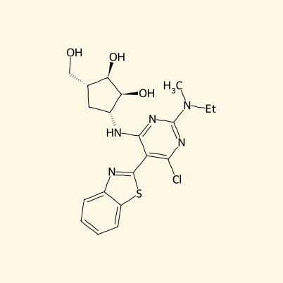 CCN(C)c1nc(Cl)c(-c2nc3ccccc3s2)c(N[C@@H]2C[C@H](CO)[C@@H](O)[C@H]2O)n1